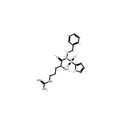 N=C(N)NCCC[C@H](N)C(=O)N(OCc1ccccc1)S(=O)(=O)c1ccco1